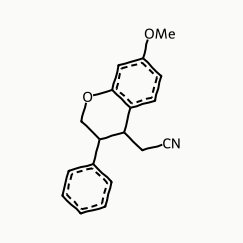 COc1ccc2c(c1)OCC(c1ccccc1)C2CC#N